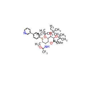 CSC1O[C@H]([C@H](NC(=O)C(F)(F)F)[C@H](C)Sc2ccc(-c3cccnc3)cc2)C(O[Si](C)(C)C)C(O[Si](C)(C)C)[C@H]1O[Si](C)(C)C